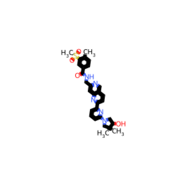 Cc1ccc(C(=O)NCc2cc3nc(-c4cccc(N5CC(O)C(C)(C)C5)n4)ccc3cn2)cc1S(C)(=O)=O